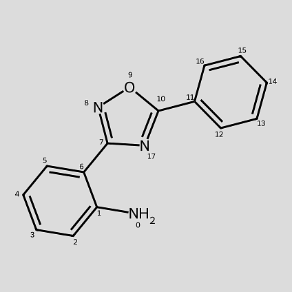 Nc1ccccc1-c1noc(-c2ccccc2)n1